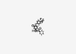 O=C(NC1CCCCC1)c1cn(Cc2ccc(C(F)(F)F)cc2)c(=O)cc1O